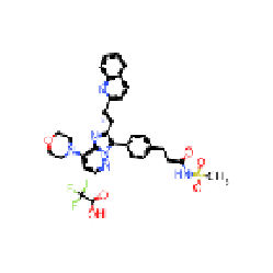 CS(=O)(=O)NC(=O)CCc1ccc(-c2c(/C=C/c3ccc4ccccc4n3)nc3c(N4CCOCC4)ccnn23)cc1.O=C(O)C(F)(F)F